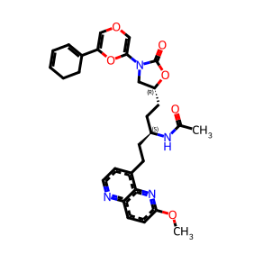 COc1ccc2nccc(CC[C@@H](CC[C@@H]3CN(C4=COC=C(C5=CC=CCC5)O4)C(=O)O3)NC(C)=O)c2n1